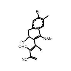 C=C(C#N)/C(C=O)=C(\F)C1=C(NC)c2cc(C)c(CC)cc2CC1C(C)C